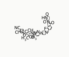 CC1(C)[C@H](NC(=O)c2ccc(N3CCN(Cc4ccc5c(c4F)CN(C4CCC(=O)NC4=O)C5=O)CC3)nc2)C(C)(C)[C@H]1Oc1ccc(C#N)c(Cl)c1